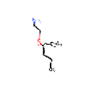 C=C/C=C(\C)OCCN